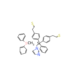 CB(c1ccccc1)c1ccccc1.S=CCc1ccc([Si](Cn2ccnc2)(c2ccccc2)c2ccc(CC=S)cc2)cc1